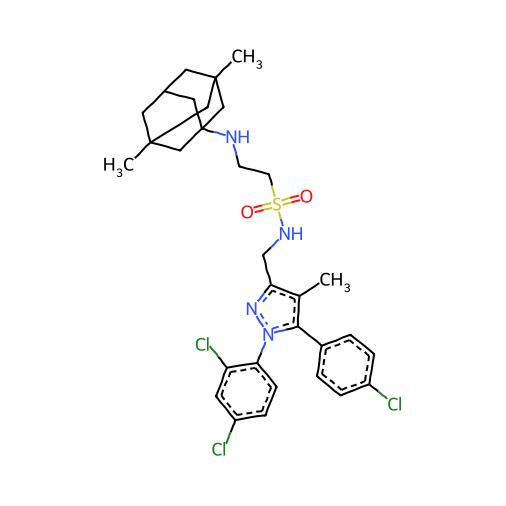 Cc1c(CNS(=O)(=O)CCNC23CC4CC(C)(CC(C)(C4)C2)C3)nn(-c2ccc(Cl)cc2Cl)c1-c1ccc(Cl)cc1